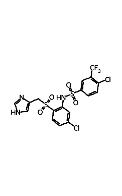 O=S(=O)(Cc1c[nH]cn1)c1ccc(Cl)cc1NS(=O)(=O)c1ccc(Cl)c(C(F)(F)F)c1